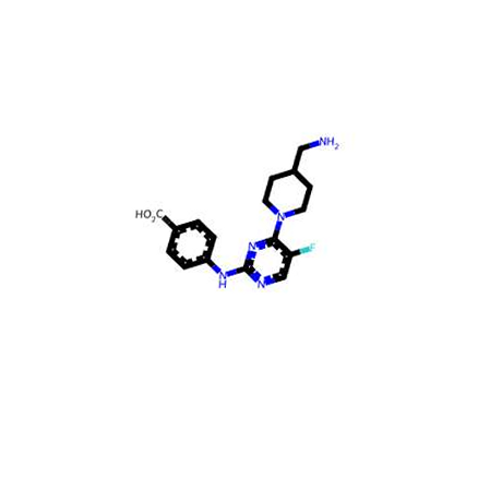 NCC1CCN(c2nc(Nc3ccc(C(=O)O)cc3)ncc2F)CC1